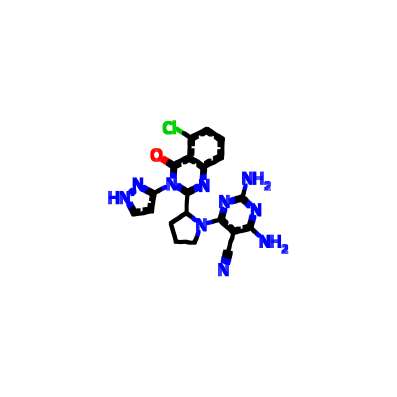 N#Cc1c(N)nc(N)nc1N1CCCC1c1nc2cccc(Cl)c2c(=O)n1-c1cc[nH]n1